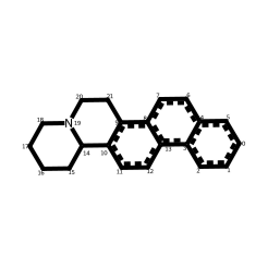 c1ccc2c(c1)ccc1c3c(ccc12)C1CCCCN1CC3